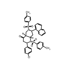 Cc1ccc(S(=O)(=O)N2C[C@H]3C(=O)CC(c4ccc(Cl)cc4)N(S(=O)(=O)c4ccc(C)cc4)[C@H]3CC2c2cccc3ccccc23)cc1